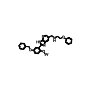 CC(C)Oc1ccc(OCc2ccccc2)cc1-c1nc2cc(CNCCOc3ccccc3)cnc2[nH]1